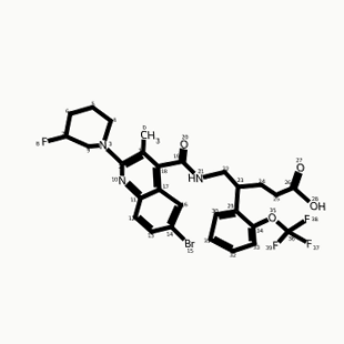 Cc1c(N2CCCC(F)C2)nc2ccc(Br)cc2c1C(=O)NCC(CCC(=O)O)c1ccccc1OC(F)(F)F